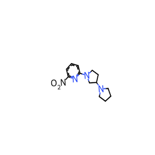 O=[N+]([O-])c1cccc(N2CCC(N3CCCC3)C2)n1